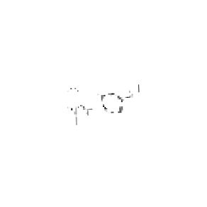 O=C1NCCCC1Cc1cccc(C(F)(F)F)c1